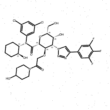 O=C(CO[C@@H]1[C@@H](n2cc(-c3cc(F)c(F)c(F)c3)nn2)[C@@H](O)[C@@H](CO)O[C@H]1C(=O)N(c1cc(Cl)cc(Cl)c1)[C@H]1CCCC[C@@H]1O)N1CCC(O)CC1